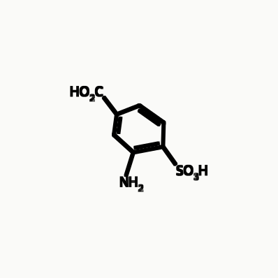 Nc1cc(C(=O)O)ccc1S(=O)(=O)O